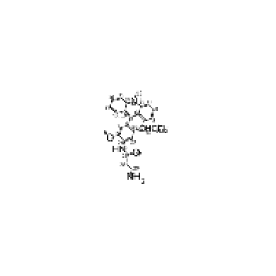 COc1cc(-c2c3ccccc3[n+](C)c3ccccc23)c(OC)cc1NC(=O)CCN.Cl.[Cl-]